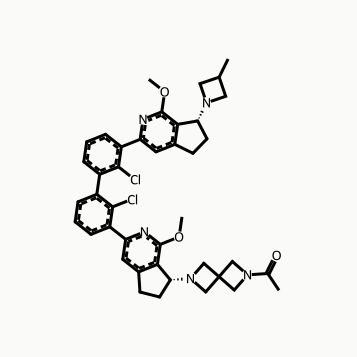 COc1nc(-c2cccc(-c3cccc(-c4cc5c(c(OC)n4)[C@H](N4CC6(CN(C(C)=O)C6)C4)CC5)c3Cl)c2Cl)cc2c1[C@H](N1CC(C)C1)CC2